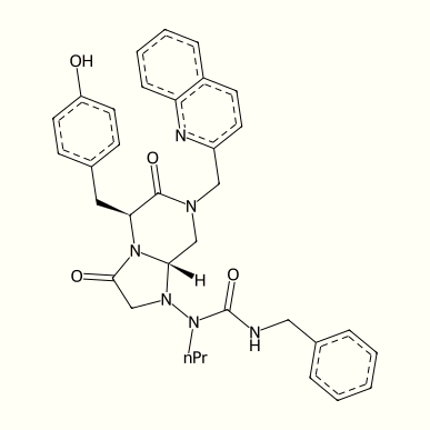 CCCN(C(=O)NCc1ccccc1)N1CC(=O)N2[C@@H](Cc3ccc(O)cc3)C(=O)N(Cc3ccc4ccccc4n3)C[C@@H]21